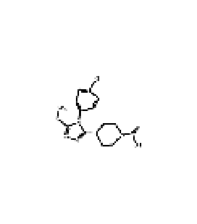 COc1nnc(C2CCN(C(=O)O)CC2)n1-c1ccc(Cl)cc1